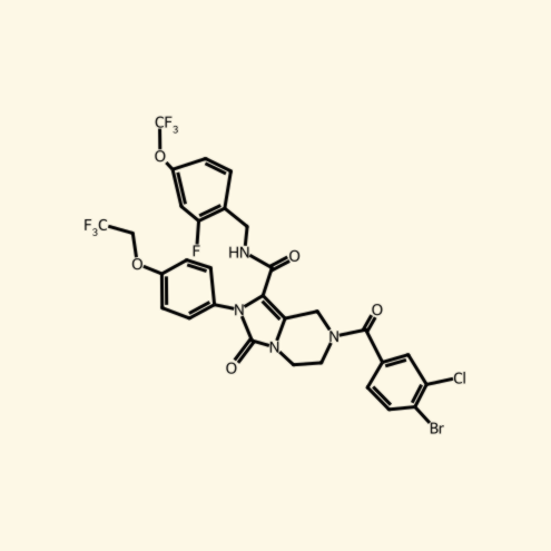 O=C(NCc1ccc(OC(F)(F)F)cc1F)c1c2n(c(=O)n1-c1ccc(OCC(F)(F)F)cc1)CCN(C(=O)c1ccc(Br)c(Cl)c1)C2